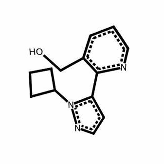 OCc1cccnc1-c1ccnn1C1CCC1